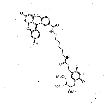 COCC(OC)C(Cn1cc(CCC(=O)NCCCCCCNC(=O)c2ccc(C(=O)O)c(-c3c4ccc(=O)cc-4oc4cc(O)ccc34)c2)c(=O)[nH]c1=O)OC